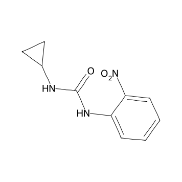 O=C(Nc1ccccc1[N+](=O)[O-])NC1CC1